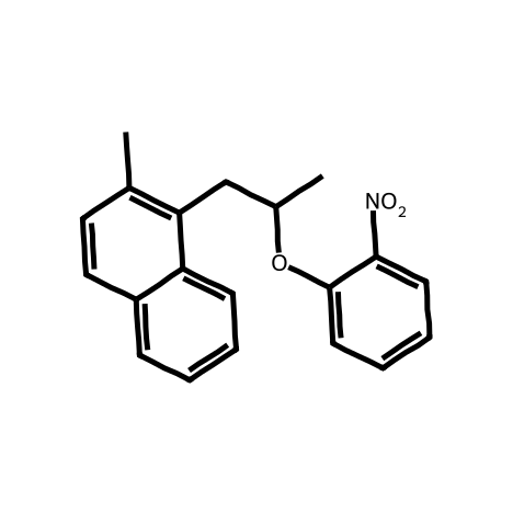 Cc1ccc2ccccc2c1CC(C)Oc1ccccc1[N+](=O)[O-]